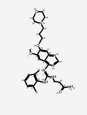 COc1cc2c(/N=C(\NCCC(N)=O)Nc3c(C)cccc3C)ncnc2cc1OCCCN1CCOCC1